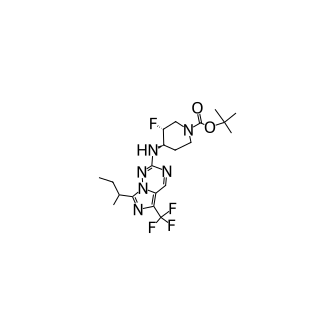 CCC(C)c1nc(C(F)(F)F)c2cnc(N[C@@H]3CCN(C(=O)OC(C)(C)C)C[C@H]3F)nn12